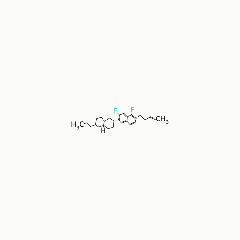 C/C=C/CCc1ccc2cc([C@@H]3CC[C@@H]4CC(CCC)CCC4C3)c(F)cc2c1F